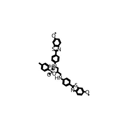 COc1ccc2nc(-c3ccc(NCC(CNc4ccc(-c5nc6ccc(OC)cc6s5)cc4)OS(=O)(=O)c4ccc(C)cc4)cc3)sc2c1